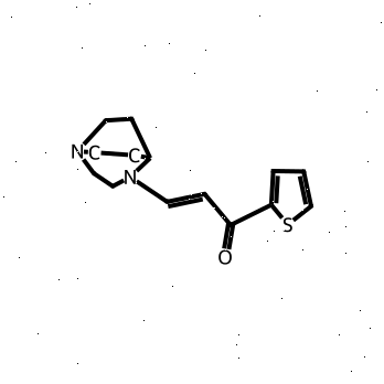 O=C(C=CN1CCN2CCC1CC2)c1cccs1